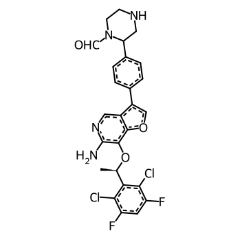 C[C@@H](Oc1c(N)ncc2c(-c3ccc(C4CNCCN4C=O)cc3)coc12)c1c(Cl)c(F)cc(F)c1Cl